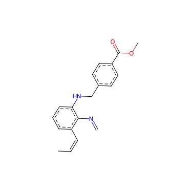 C=Nc1c(/C=C\C)cccc1NCc1ccc(C(=O)OC)cc1